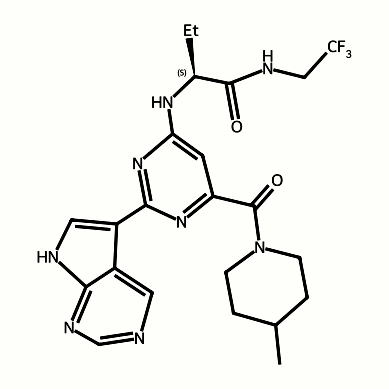 CC[C@H](Nc1cc(C(=O)N2CCC(C)CC2)nc(-c2c[nH]c3ncncc23)n1)C(=O)NCC(F)(F)F